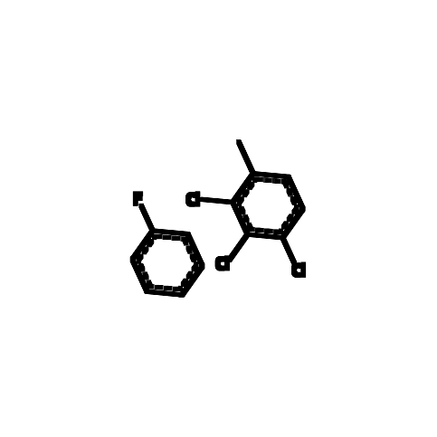 Cc1ccc(Cl)c(Cl)c1Cl.Fc1ccccc1